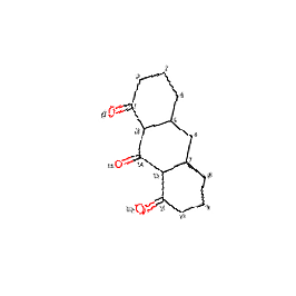 O=C1CCCC2CC3CCCC(=O)C3C(=O)C12